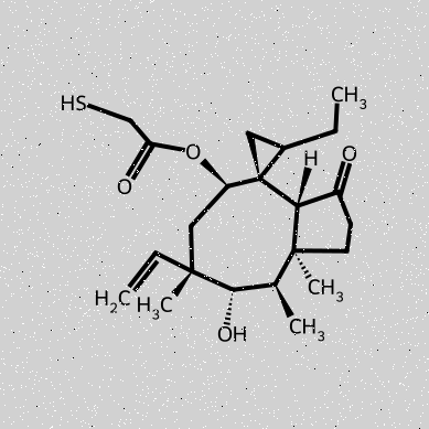 C=C[C@]1(C)C[C@@H](OC(=O)CS)[C@@]2(CC2CC)[C@@H]2C(=O)CC[C@@]2(C)[C@@H](C)[C@@H]1O